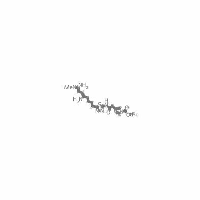 CN/C(N)=C/C=C(\N)CCCCc1nnc(NC(=O)Cc2cn(C(=O)OC(C)(C)C)cn2)s1